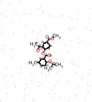 COC(=O)c1ccc(OC(=O)c2cc(C)ccc2OC(C)C)c(C(C)=O)c1